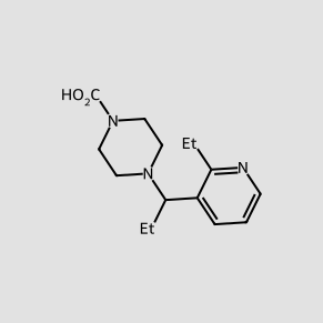 CCc1ncccc1C(CC)N1CCN(C(=O)O)CC1